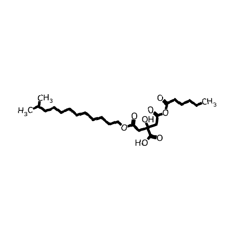 CCCCCC(=O)OC(=O)CC(O)(CC(=O)OCCCCCCCCCCC(C)C)C(=O)O